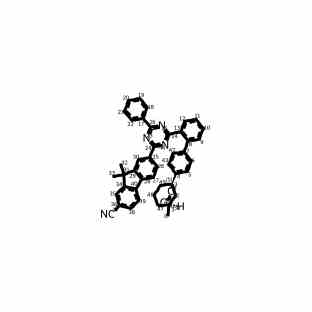 C[C@@H]1C[C@]2(c3ccc(-c4ccccc4-c4nc(-c5ccccc5)nc(-c5ccc6c(c5)C(C)(C)c5cc(C#N)ccc5-6)n4)cc3)CCCC1CC2